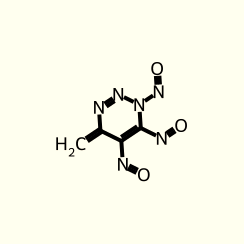 C=C1N=NN(N=O)C(N=O)=C1N=O